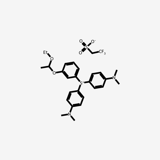 CCOC(C)Oc1cccc([S+](c2ccc(N(C)C)cc2)c2ccc(N(C)C)cc2)c1.O=S(=O)([O-])CC(F)(F)F